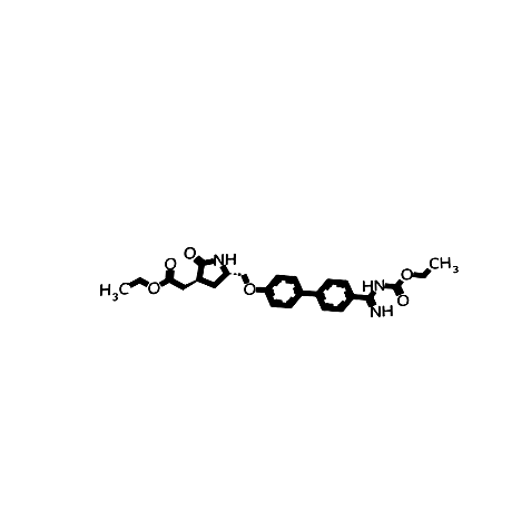 CCOC(=O)C[C@@H]1C[C@@H](COc2ccc(-c3ccc(C(=N)NC(=O)OCC)cc3)cc2)NC1=O